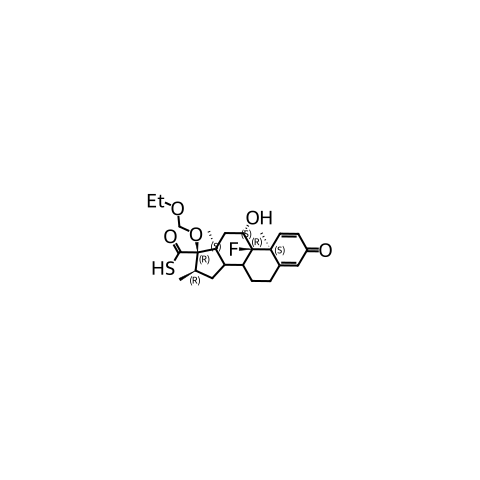 CCOCO[C@]1(C(=O)S)[C@H](C)CC2C3CCC4=CC(=O)C=C[C@]4(C)[C@@]3(F)[C@@H](O)C[C@@]21C